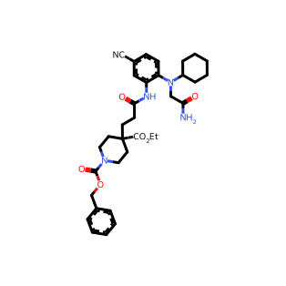 CCOC(=O)C1(CCC(=O)Nc2cc(C#N)ccc2N(CC(N)=O)C2CCCCC2)CCN(C(=O)OCc2ccccc2)CC1